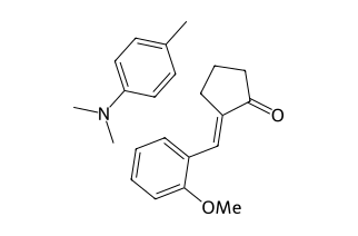 COc1ccccc1C=C1CCCC1=O.Cc1ccc(N(C)C)cc1